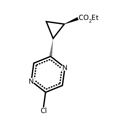 CCOC(=O)[C@@H]1C[C@H]1c1cnc(Cl)cn1